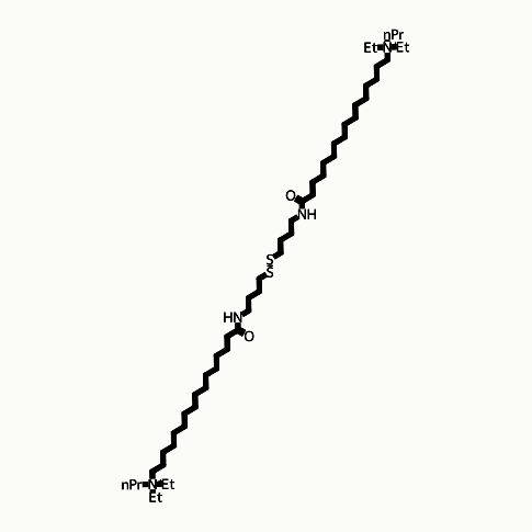 CCC[N+](CC)(CC)CCCCCCCCCCCCCCCC(=O)NCCCCSSCCCCNC(=O)CCCCCCCCCCCCCCC[N+](CC)(CC)CCC